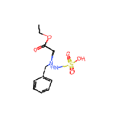 CCOC(=O)CN(Cc1ccccc1)NS(=O)(=O)O